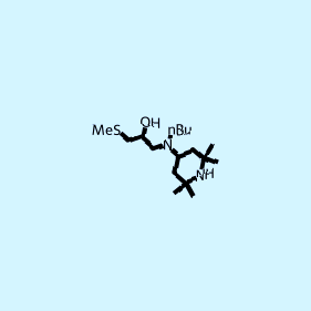 CCCCN(CC(O)CSC)C1CC(C)(C)NC(C)(C)C1